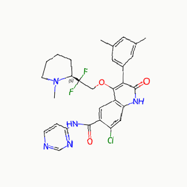 Cc1cc(C)cc(-c2c(OCC(F)(F)[C@@H]3CCCCN3C)c3cc(C(=O)Nc4ccncn4)c(Cl)cc3[nH]c2=O)c1